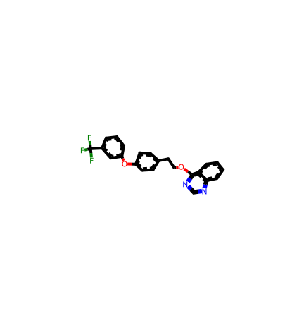 FC(F)(F)c1cccc(Oc2ccc(CCOc3ncnc4ccccc34)cc2)c1